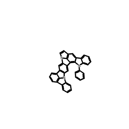 c1ccc(-n2c3ccccc3c3cc4ccn5c6cc7c8cccc9c%10ccccc%10n(c7cc6c(c32)c45)c98)cc1